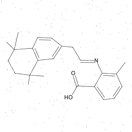 Cc1cccc(C(=O)O)c1N=CCc1ccc2c(c1)C(C)(C)CCC2(C)C